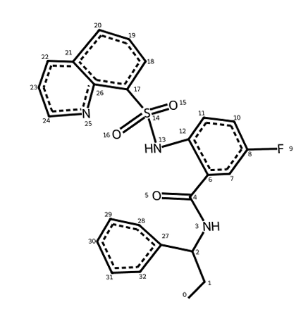 CCC(NC(=O)c1cc(F)ccc1NS(=O)(=O)c1cccc2cccnc12)c1ccccc1